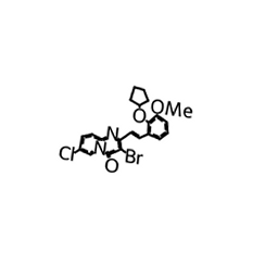 COc1cccc(/C=C/c2nc3ccc(Cl)cn3c(=O)c2Br)c1OC1CCCC1